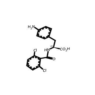 Nc1ccc(C[C@H](NC(=O)c2c(Cl)cccc2Cl)C(=O)O)cc1